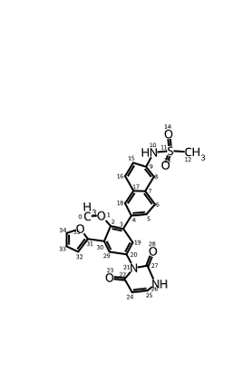 COc1c(-c2ccc3cc(NS(C)(=O)=O)ccc3c2)cc(-n2c(=O)cc[nH]c2=O)cc1-c1ccco1